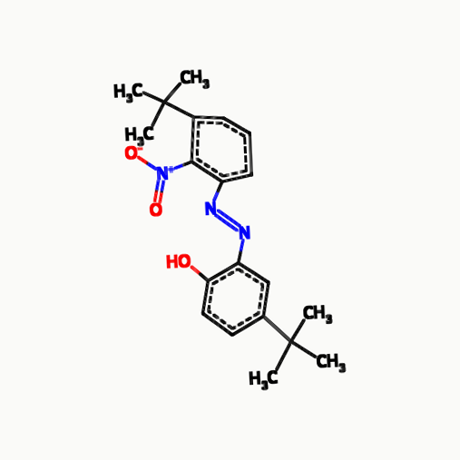 CC(C)(C)c1ccc(O)c(/N=N/c2cccc(C(C)(C)C)c2[N+](=O)[O-])c1